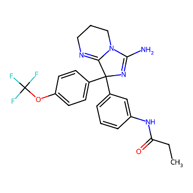 CCC(=O)Nc1cccc(C2(c3ccc(OC(F)(F)F)cc3)N=C(N)N3CCCN=C32)c1